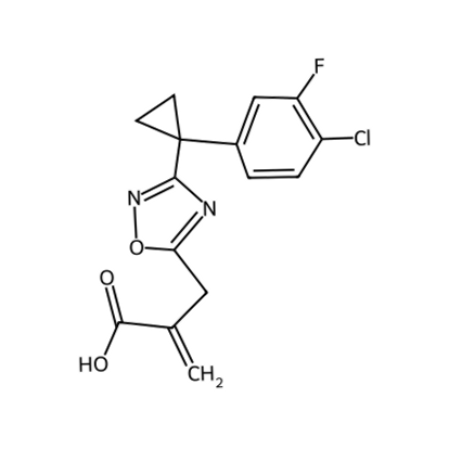 C=C(Cc1nc(C2(c3ccc(Cl)c(F)c3)CC2)no1)C(=O)O